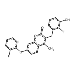 Cc1c(Cc2cccc(O)c2F)c(=O)oc2cc(Oc3ncccc3F)ccc12